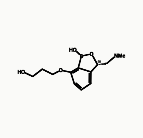 CNC[C@H]1OB(O)c2c(OCCCO)cccc21